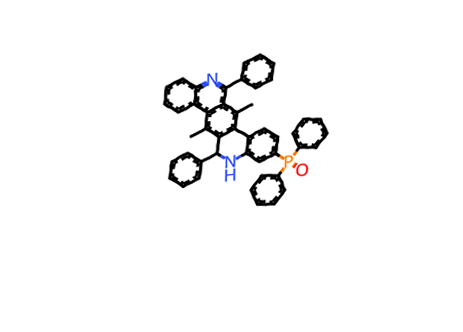 Cc1c2c(c(C)c3c1c(-c1ccccc1)nc1ccccc13)C(c1ccccc1)Nc1cc(P(=O)(c3ccccc3)c3ccccc3)ccc1-2